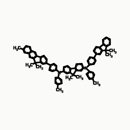 Cc1ccc(N(c2ccc(-c3ccc4c(c3)C(C)(C)c3ccccc3-4)cc2)c2ccc3c(c2)C(C)(C)c2cc(N(c4ccc(C)cc4)c4ccc(-c5ccc6c(c5)C(C)(C)c5cc7cc(C)ccc7cc5-6)cc4)ccc2-3)cc1